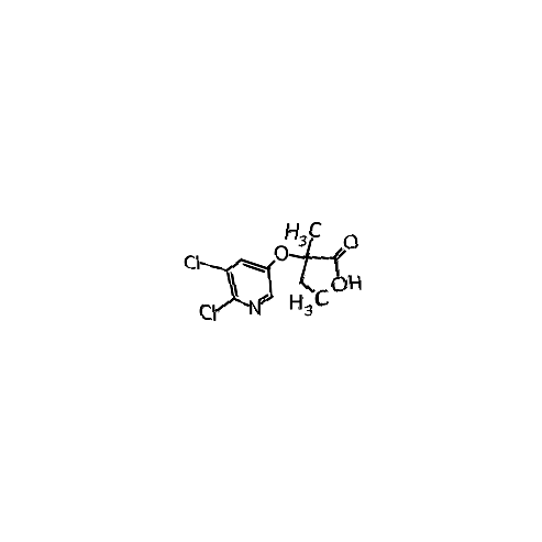 CCC(C)(Oc1cnc(Cl)c(Cl)c1)C(=O)O